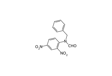 O=CN(Cc1ccccc1)c1ccc([N+](=O)[O-])cc1[N+](=O)[O-]